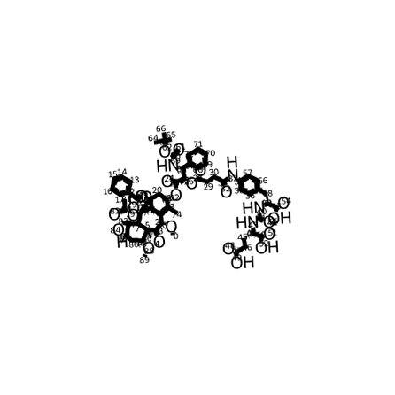 CO[C@H]1C(=O)[C@@]2(C)C([C@@]3(OC(=O)c4ccccc4)[C@]4(O)C[C@H](OC(=O)[C@H](OC(=O)CCC(=O)Nc5ccc(C[C@H](NC(=O)N[C@@H](CCC(=O)O)C(=O)O)C(=O)O)cc5)[C@@H](NC(=O)OC(C)(C)C)c5ccccc5)C(C)=C1[C@@]43C)[C@]1(OC(C)=O)CO[C@@H]1C[C@@H]2OC